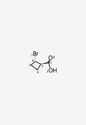 O=C(O)[C@H]1CC[C@@H]1Br